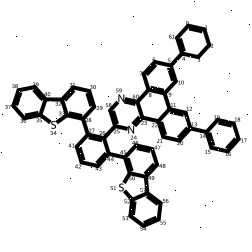 C1=CCCC(c2ccc3c(c2)c2cc(-c4ccccc4)ccc2c2nc(-c4c(-c5cccc6c5sc5ccccc56)cccc4-c4cccc5c4sc4ccccc45)cnc32)=C1